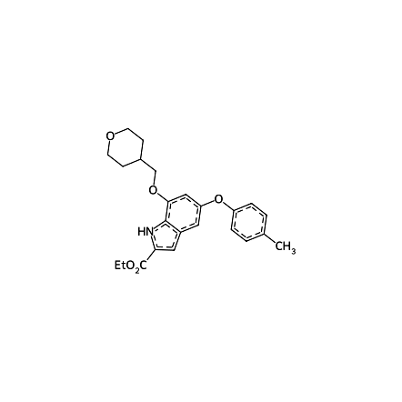 CCOC(=O)c1cc2cc(Oc3ccc(C)cc3)cc(OCC3CCOCC3)c2[nH]1